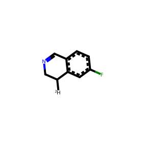 [2H]C1CN=Cc2ccc(F)cc21